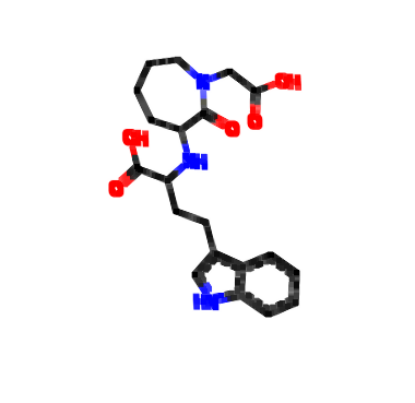 O=C(O)CN1CCCCC(NC(CCc2c[nH]c3ccccc23)C(=O)O)C1=O